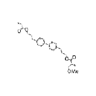 C=CC(=O)OCCCc1ccc(-c2ccc(CCCOC(=O)C(=C)COC)cc2)cc1